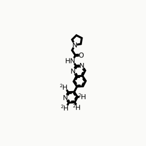 [2H]c1nc([2H])c(-c2ccc3cnc(NC(=O)CN4CCCC4)nc3c2)c([2H])c1[2H]